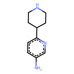 Nc1ccc(C2CCNCC2)nc1